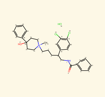 C[N+]1(CCCC(CNC(=O)c2ccccc2)c2ccc(Cl)c(Cl)c2)CCC(O)(c2ccccc2)CC1.Cl